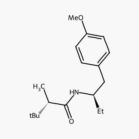 CC[C@H](Cc1ccc(OC)cc1)NC(=O)[C@@H](C)C(C)(C)C